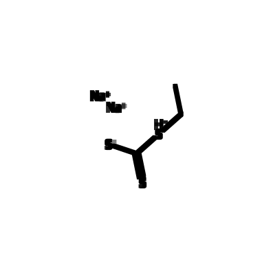 CC[SH-]C(=S)[S-].[Na+].[Na+]